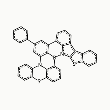 c1ccc(-c2cc3c4c(c2)N2c5ccccc5Sc5cccc(c52)B4n2c4sc5ccccc5c4c4cccc-3c42)cc1